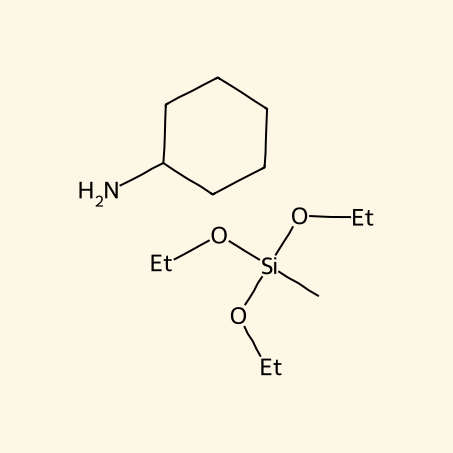 CCO[Si](C)(OCC)OCC.NC1CCCCC1